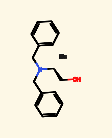 CC[C@H](C)[C@@H](CO)N(Cc1ccccc1)Cc1ccccc1